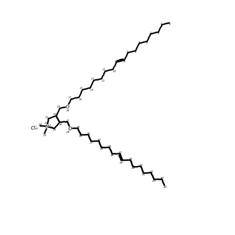 CCCCCCCCC=CCCCCCCCCOCC1C[N+](C)(C)CC1COCCCCCCCCC=CCCCCCCCC.[Cl-]